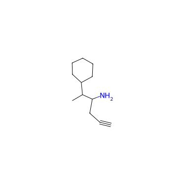 C#CCC(N)C(C)C1CCCCC1